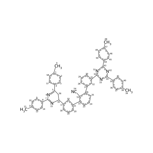 Cc1ccc(C2=NC(c3ccc(C)cc3)=NC(c3cccc(-c4cccc(-c5cccc(-c6nc(-c7ccc(C)cc7)nc(-c7ccc(C)cc7)n6)c5)c4C#N)c3)C2)cc1